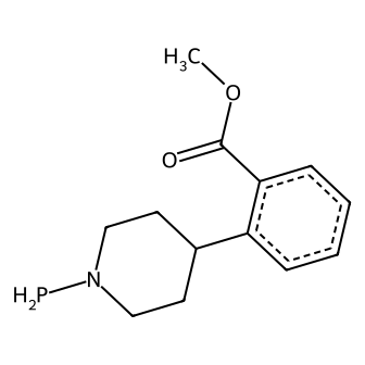 COC(=O)c1ccccc1C1CCN(P)CC1